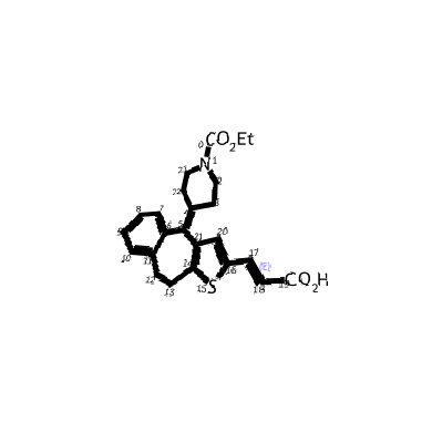 CCOC(=O)N1CCC(=C2c3ccccc3CCc3sc(/C=C/C(=O)O)cc32)CC1